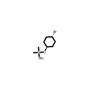 CC(C)(C)[Si](C)(C)O[C@H]1CC[C@H](Br)CC1